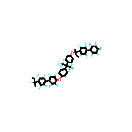 CCC(C)(F)c1c(F)c(F)c(-c2c(F)c(F)c(Oc3ccc(C(c4ccc(OC(C)(CC)c5c(F)c(F)c(-c6c(F)c(F)c(F)c(F)c6F)c(F)c5F)cc4)(C(F)(F)F)C(F)(F)F)cc3)c(F)c2F)c(F)c1F